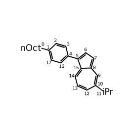 CCCCCCCCc1ccc(-c2ccc3cc(C(C)C)cccc2-3)cc1